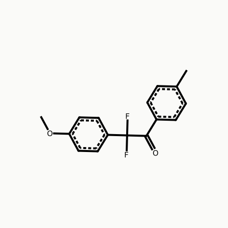 COc1ccc(C(F)(F)C(=O)c2ccc(C)cc2)cc1